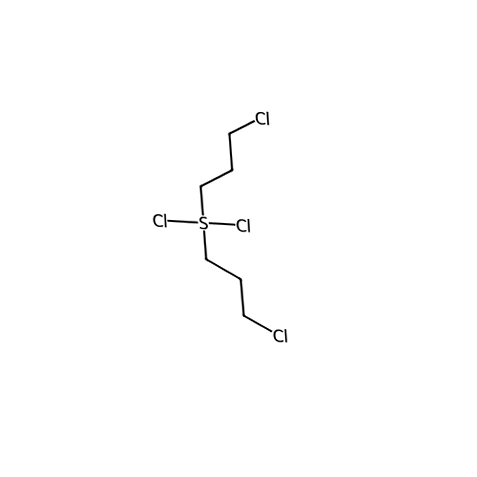 ClCCCS(Cl)(Cl)CCCCl